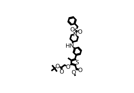 COC(=O)c1sc(-c2cccc(NC3CCN(S(=O)(=O)Cc4ccccc4)CC3)c2)c(C)c1OCC(=O)OC(C)(C)C